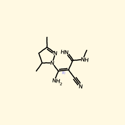 CNC(=N)/C(C#N)=C(/N)N1N=C(C)CC1C